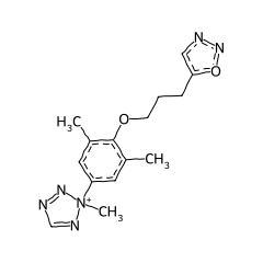 Cc1cc([N+]2(C)N=CN=N2)cc(C)c1OCCCc1cnno1